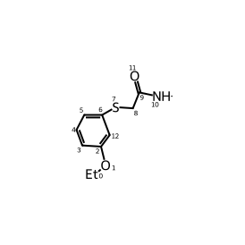 CCOc1cccc(SCC([NH])=O)c1